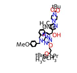 CCCC(CCOc1nc(N(Cc2ccc(OC)cc2)Cc2ccc(OC)cc2)c2ncc(C(O)c3cnc(N4CCN(C(=O)OC(C)(C)C)CC4)c(C)c3)n2n1)O[Si](C)(C)C(C)(C)C